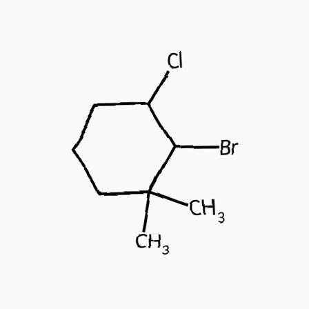 CC1(C)CCCC(Cl)C1Br